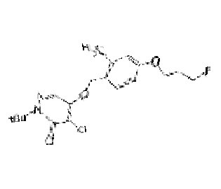 Cc1cc(OCCCF)ccc1COc1cnn(C(C)(C)C)c(=O)c1Cl